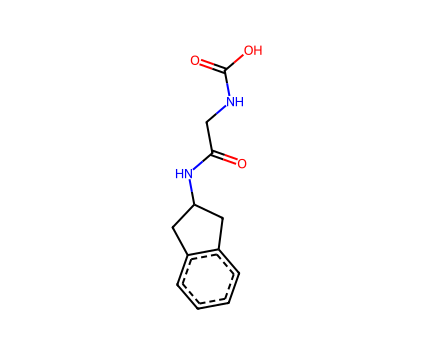 O=C(O)NCC(=O)NC1Cc2ccccc2C1